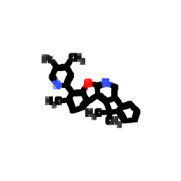 Cc1cc(-c2c(C)ccc3c2oc2ncc4c(c23)C(C)(C)c2ccccc2-4)ncc1C(C)C